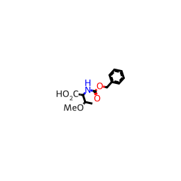 COC(C)C(NC(=O)OCc1ccccc1)C(=O)O